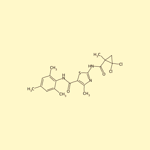 Cc1cc(C)c(NC(=O)c2sc(NC(=O)C3(C)CC3(Cl)Cl)nc2C)c(C)c1